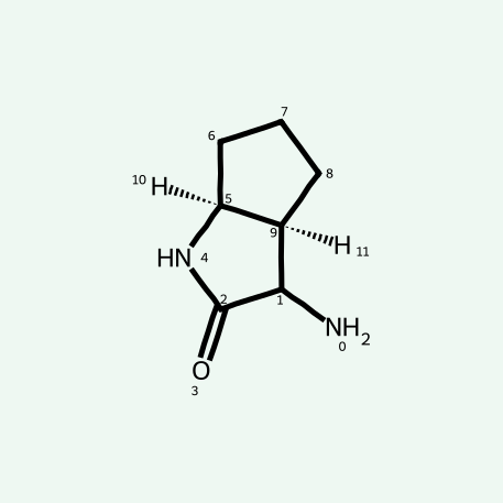 NC1C(=O)N[C@H]2CCC[C@@H]12